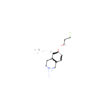 COc1c(OCCCF)ccc2c1CCNC2